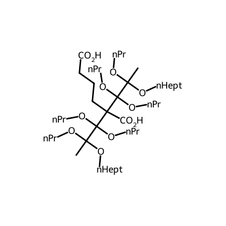 CCCCCCCOC(C)(OCCC)C(OCCC)(OCCC)C(CCCC(=O)O)(C(=O)O)C(OCCC)(OCCC)C(C)(OCCC)OCCCCCCC